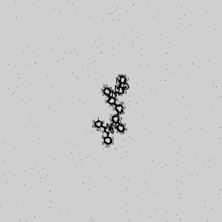 c1ccc(-c2cc(-c3ccccc3)nc(-n3c4ccccc4c4cc(-c5cccc(-c6ccc7c8ccccc8n(-c8ccc9oc%10cccnc%10c9n8)c7c6)c5)ccc43)n2)cc1